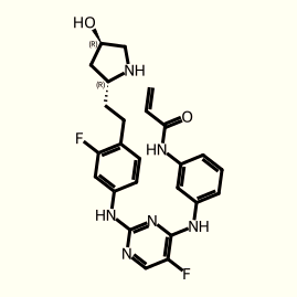 C=CC(=O)Nc1cccc(Nc2nc(Nc3ccc(CC[C@@H]4C[C@@H](O)CN4)c(F)c3)ncc2F)c1